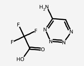 Nc1cnnnn1.O=C(O)C(F)(F)F